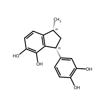 C[C@@H]1C[C@H](c2ccc(O)c(O)c2)c2c1ccc(O)c2O